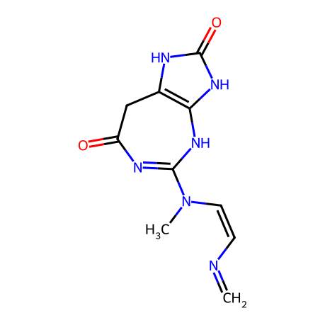 C=N/C=C\N(C)C1=NC(=O)Cc2[nH]c(=O)[nH]c2N1